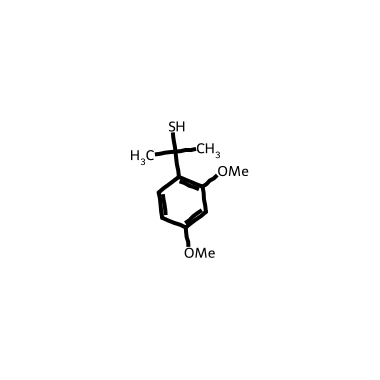 COc1ccc(C(C)(C)S)c(OC)c1